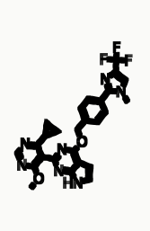 COc1ncnc(C2CC2)c1-c1nc(OCc2ccc(-c3nc(C(F)(F)F)cn3C)cc2)c2cc[nH]c2n1